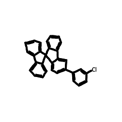 Clc1cccc(-c2ccc3c(c2)-c2ccccc2C32c3ccccc3-c3ccccc32)c1